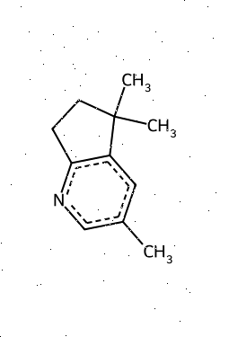 Cc1cnc2c(c1)C(C)(C)CC2